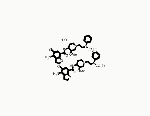 CCOC(=O)N(CCN1CCC(NC(=O)c2cc(Cl)c(N)c3c2OCC3)C(OC)C1)c1ccccc1.CCOC(=O)N(CCN1CCC(NC(=O)c2cc(Cl)c(N)c3c2OCC3)C(OC)C1)c1ccccc1.O